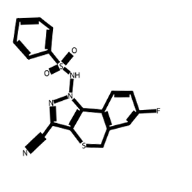 N#Cc1nn(NS(=O)(=O)c2ccccc2)c2c1SCc1cc(F)ccc1-2